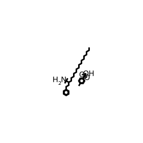 CCCCCCCCCCCCCCCCC(CCc1ccccc1)C(C)(C)N.Cc1ccc(S(=O)(=O)O)cc1